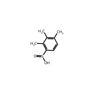 Cc1ccc(S(=O)O)c(C)c1C